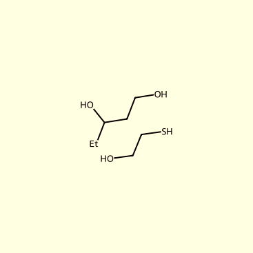 CCC(O)CCO.OCCS